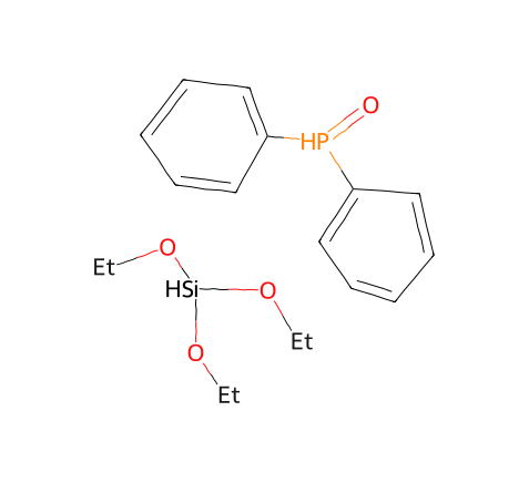 CCO[SiH](OCC)OCC.O=[PH](c1ccccc1)c1ccccc1